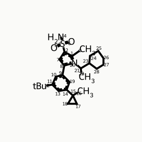 Cc1c(S(N)(=O)=O)cc(-c2cc(C(C)(C)C)cc(C3(C)CC3)c2)n1C(C)C1CCCCC1